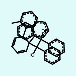 Cc1ccccc1C1C=CC=CC1(c1ccccc1C)C(O)(c1ccccc1)C(O)(c1ccccc1)c1ccccc1